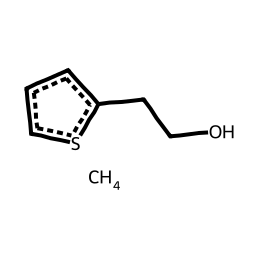 C.OCCc1cccs1